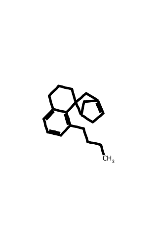 CCCCc1cccc2c1C1(CCC2)CC2=CCC1C2